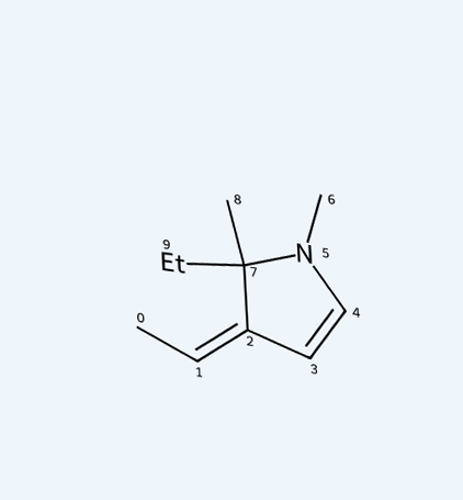 C/C=C1/C=CN(C)C1(C)CC